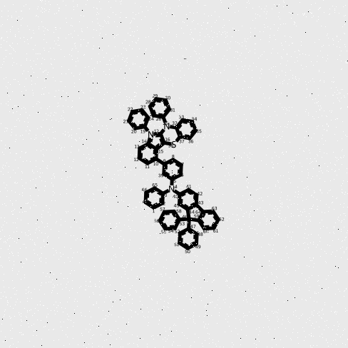 c1ccc(N(c2cccc(-c3cccc4c3c3c(n4-c4ccccc4)N(c4ccccc4)c4ccccc4S3)c2)c2ccc3c(c2)C(c2ccccc2)(c2ccccc2)c2ccccc2-3)cc1